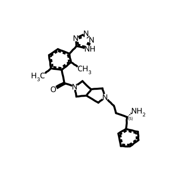 Cc1ccc(-c2nnn[nH]2)c(C)c1C(=O)N1CC2CN(CC[C@H](N)c3ccccc3)CC2C1